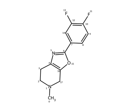 CN1CCc2nc(-c3ccc(F)c(F)c3)oc2C1